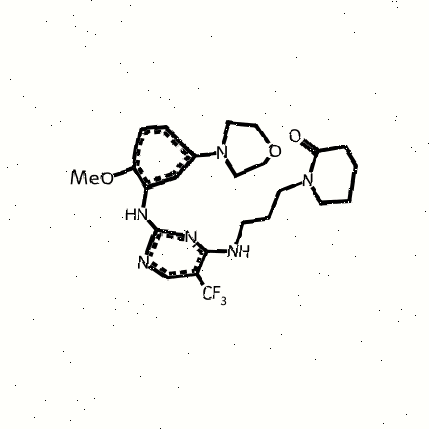 COc1ccc(N2CCOCC2)cc1Nc1ncc(C(F)(F)F)c(NCCCN2CCCCC2=O)n1